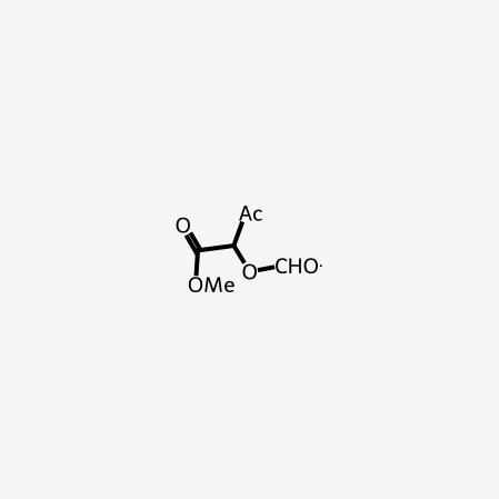 COC(=O)C(O[C]=O)C(C)=O